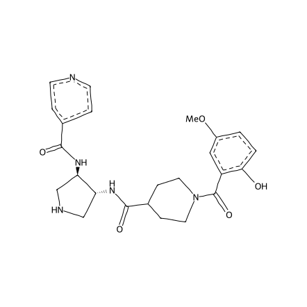 COc1ccc(O)c(C(=O)N2CCC(C(=O)N[C@@H]3CNC[C@H]3NC(=O)c3ccncc3)CC2)c1